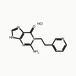 Cl.Nc1nc2[nH]cnc2c(=O)n1CCc1cccnc1